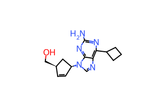 Nc1nc(C2CCC2)c2ncn([C@H]3C=C[C@@H](CO)C3)c2n1